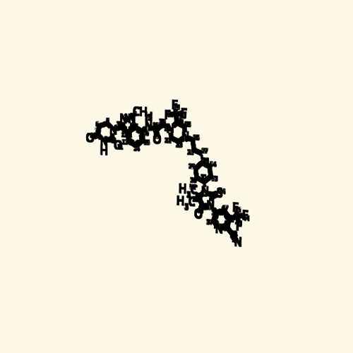 Cn1nc(N2CCC(=O)NC2=O)c2cccc(NC(=O)CN3CCN(CCC[C@H]4CC[C@H](N5C(=S)N(c6cnc(C#N)c(C(F)(F)F)c6)C(=O)C5(C)C)CC4)CC3C(F)(F)F)c21